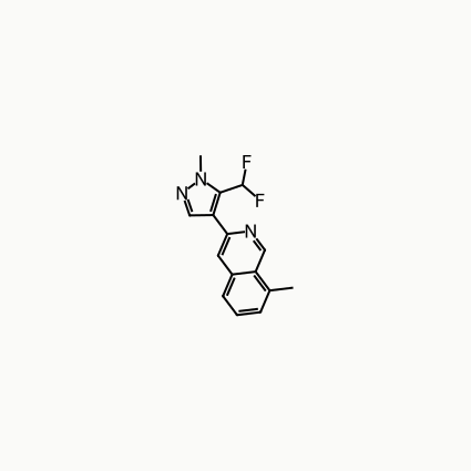 Cc1cccc2cc(-c3cnn(C)c3C(F)F)ncc12